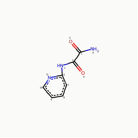 NC(=O)C(=O)Nc1ccccn1